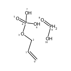 C=CCOP(=O)(O)O.O=[PH2]O